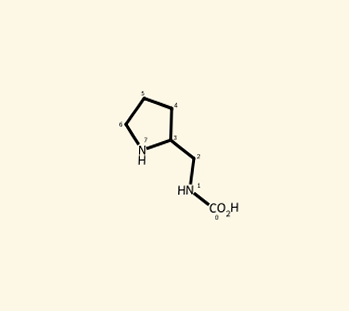 O=C(O)NCC1CCCN1